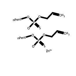 C=CCOP([O-])(=S)OCCCCC.C=CCOP([O-])(=S)OCCCCC.[Zn+2]